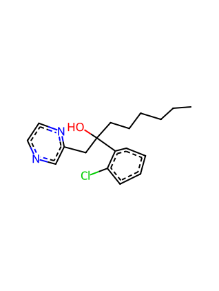 CCCCCCC(O)(Cc1cnccn1)c1ccccc1Cl